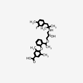 Cc1ccc(CC(C)(C)NC[C@H](O)COC(C)c2ccccc2Oc2c(C)cc(C(=O)O)cc2C)cc1F